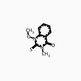 COn1c(=S)n(C)c(=O)c2ccccc21